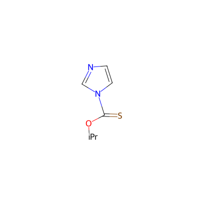 CC(C)OC(=S)n1ccnc1